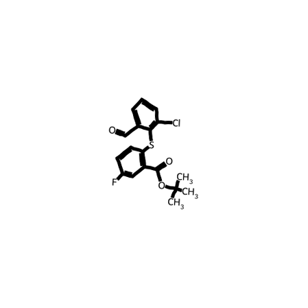 CC(C)(C)OC(=O)c1cc(F)ccc1Sc1c(Cl)cccc1C=O